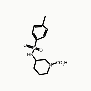 Cc1ccc(S(=O)(=O)NC2CCCN(C(=O)O)C2)cc1